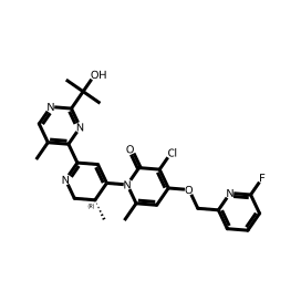 Cc1cnc(C(C)(C)O)nc1C1=NC[C@@H](C)C(n2c(C)cc(OCc3cccc(F)n3)c(Cl)c2=O)=C1